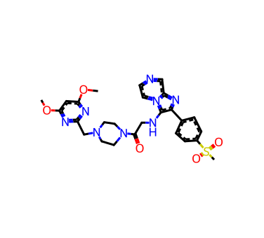 COc1cc(OC)nc(CN2CCN(C(=O)CNc3c(-c4ccc(S(C)(=O)=O)cc4)nc4cnccn34)CC2)n1